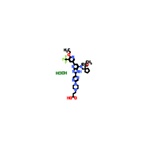 CCOc1ncc(-c2cc(N(C)CC3(COC)CCCC3)c3[nH]c(-c4cnc(N5CCN(CCC(=O)O)CC5)cn4)nc3n2)cc1C(F)(F)F.Cl.Cl